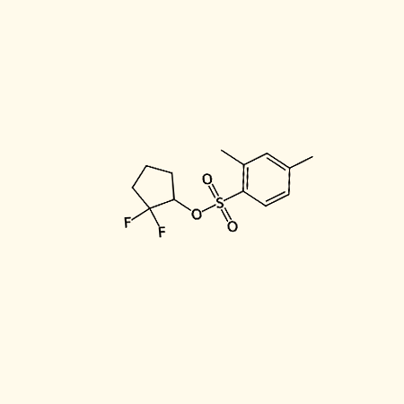 Cc1ccc(S(=O)(=O)OC2CCCC2(F)F)c(C)c1